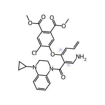 C=C/C=C(Oc1cc(C(=O)OC)c(C(=O)OC)cc1Cl)\C(=C/N)C(=O)N1CCN(C2CC2)c2ccccc21